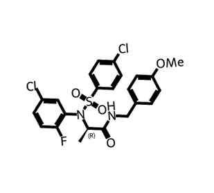 COc1ccc(CNC(=O)[C@@H](C)N(c2cc(Cl)ccc2F)S(=O)(=O)c2ccc(Cl)cc2)cc1